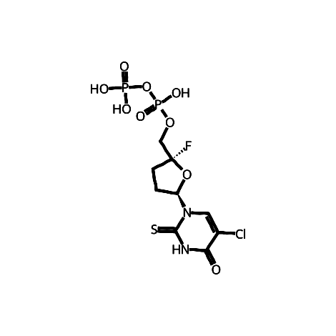 O=c1[nH]c(=S)n([C@H]2CC[C@@](F)(COP(=O)(O)OP(=O)(O)O)O2)cc1Cl